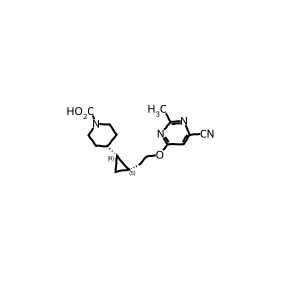 Cc1nc(C#N)cc(OCC[C@@H]2C[C@@H]2C2CCN(C(=O)O)CC2)n1